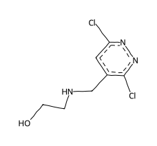 OCCNCc1cc(Cl)nnc1Cl